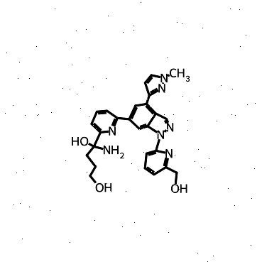 Cn1ccc(-c2cc(-c3cccc(C(N)(O)CCCO)n3)cc3c2cnn3-c2cccc(CO)n2)n1